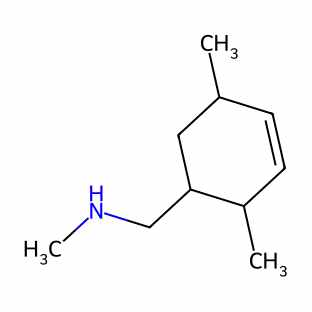 CNCC1CC(C)C=CC1C